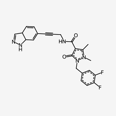 Cc1c(C(=O)NCC#CC2=CC3NN=CC3C=C2)c(=O)n(Cc2ccc(F)c(F)c2)n1C